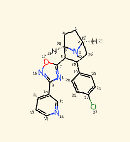 CN1[C@H]2CC[C@@H]1C(c1nc(-c3cccnc3)no1)C(c1ccc(Cl)cc1)C2